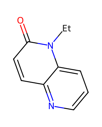 CCn1c(=O)ccc2ncccc21